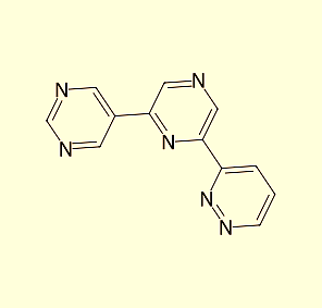 c1cnnc(-c2cncc(-c3cncnc3)n2)c1